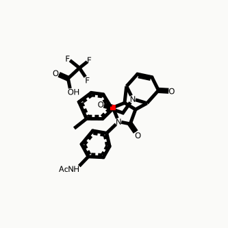 CC(=O)Nc1ccc(N2C(=O)C3C(C2=O)C2C(=O)C=CC3N2Cc2cccc(C)c2)cc1.O=C(O)C(F)(F)F